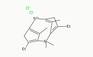 CCC1=C2C(C)=[C](C1)[Ti+2][C]1=C(C)C(=C(CC)C1)[Si]2(C)C.[Cl-].[Cl-]